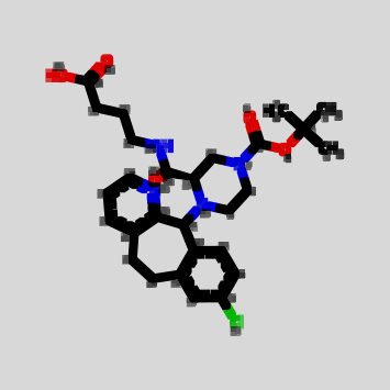 CC(C)(C)OC(=O)N1CCN(C2c3ccc(Cl)cc3CCc3cccnc32)[C@@H](C(=O)NCCCC(=O)O)C1